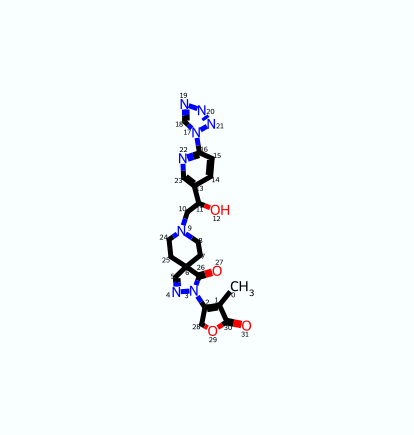 CC1=C(N2N=CC3(CCN(CC(O)c4ccc(-n5cnnn5)nc4)CC3)C2=O)COC1=O